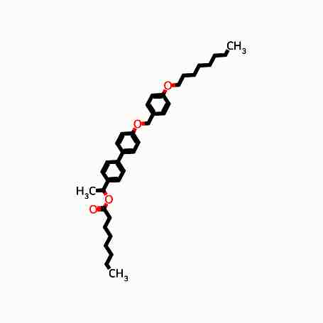 CCCCCCCCOc1ccc(COc2ccc(-c3ccc(C(C)OC(=O)CCCCCCC)cc3)cc2)cc1